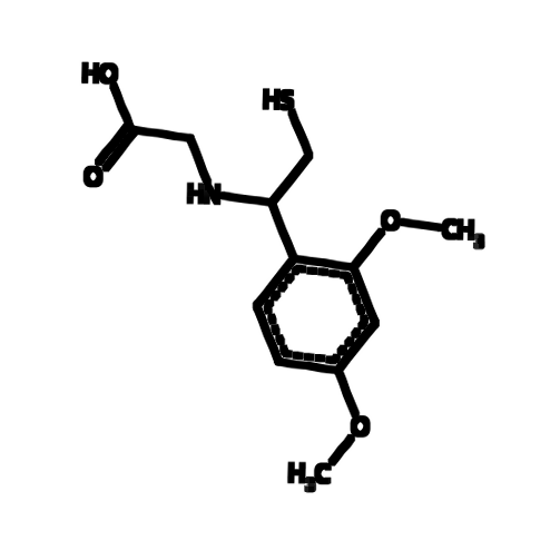 COc1ccc(C(CS)NCC(=O)O)c(OC)c1